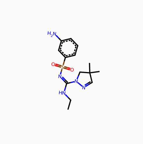 CCN/C(=N/S(=O)(=O)c1cccc(N)c1)N1CC(C)(C)C=N1